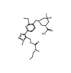 CCCN(C)C(=O)OCc1c(-c2ccc(CN3C[C@H](C(=O)O)CC(F)(F)C3)c(CC)n2)nnn1C